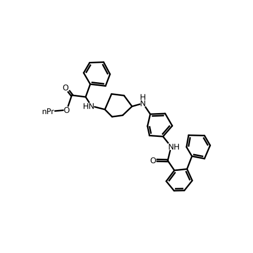 CCCOC(=O)C(NC1CCC(Nc2ccc(NC(=O)c3ccccc3-c3ccccc3)cc2)CC1)c1ccccc1